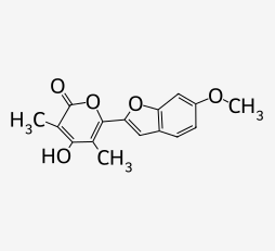 COc1ccc2cc(-c3oc(=O)c(C)c(O)c3C)oc2c1